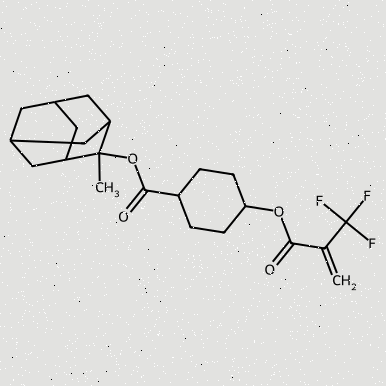 C=C(C(=O)OC1CCC(C(=O)OC2(C)C3CC4CC(C3)CC2C4)CC1)C(F)(F)F